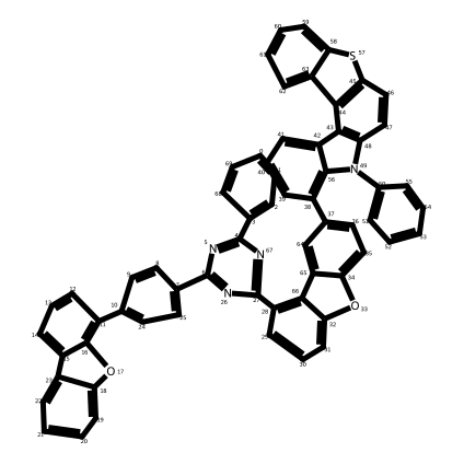 c1ccc(-c2nc(-c3ccc(-c4cccc5c4oc4ccccc45)cc3)nc(-c3cccc4oc5ccc(-c6cccc7c8c9c(ccc8n(-c8ccccc8)c67)sc6ccccc69)cc5c34)n2)cc1